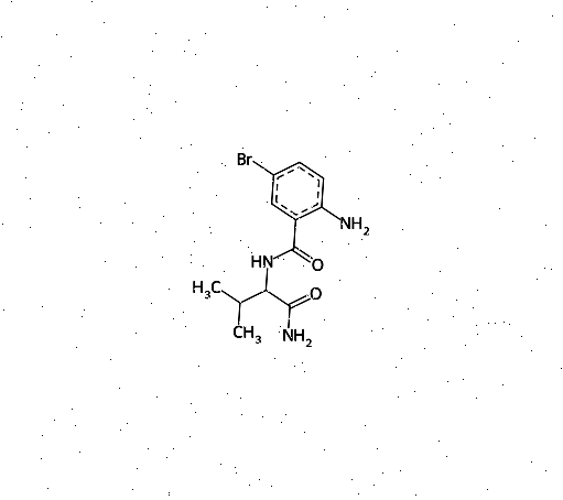 CC(C)C(NC(=O)c1cc(Br)ccc1N)C(N)=O